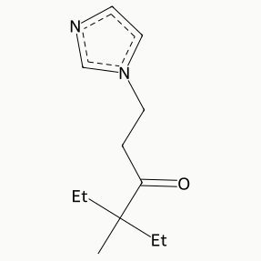 CCC(C)(CC)C(=O)CCn1ccnc1